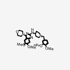 CCCOc1cc(CN2CCC(Nc3nc(N4CCOCC4)c4cc(OC)c(OC)cc4n3)CC2)ccc1OC